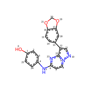 Oc1ccc(Nc2ccn3ncc(-c4ccc5c(c4)OCO5)c3n2)cc1